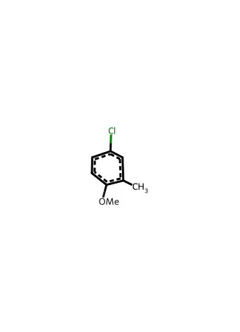 [CH2]Oc1ccc(Cl)cc1C